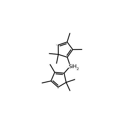 CC1=[C]C(C)(C)C([SiH2]C2=C(C)C(C)=[C]C2(C)C)=C1C